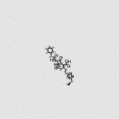 C#CCn1nnc(SCC2=C(C(=O)O)N3C(=O)C(NC(=O)Cc4ccccc4)[C@@H]3[S+]([O-])C2)n1